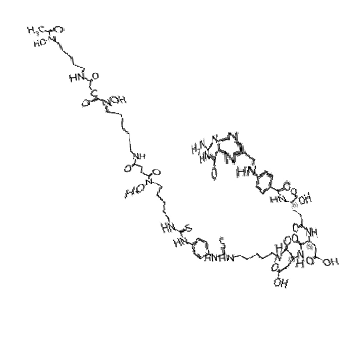 CC(=O)N(O)CCCCCNC(=O)CCC(=O)N(O)CCCCCNC(=O)CCC(=O)N(O)CCCCCNC(=S)Nc1ccc(NC(=S)NCCCCCNC(=O)[C@H](CC(=O)O)NC(=O)[C@H](CC(=O)O)NC(=O)CC[C@H](NC(=O)c2ccc(NCc3cnc4nc(N)[nH]c(=O)c4n3)cc2)C(=O)O)cc1